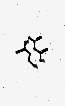 CC(=O)O[N+](=O)[O-].CCCC(=O)O